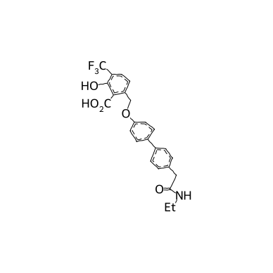 CCNC(=O)Cc1ccc(-c2ccc(OCc3ccc(C(F)(F)F)c(O)c3C(=O)O)cc2)cc1